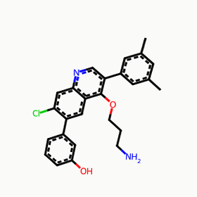 Cc1cc(C)cc(-c2cnc3cc(Cl)c(-c4cccc(O)c4)cc3c2OCCCN)c1